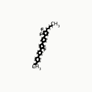 CCCCCc1ccc(-c2ccc(-c3ccc(C4CCC(C5CCC(CCC)CC5)CC4)c(F)c3)cc2)c(F)c1F